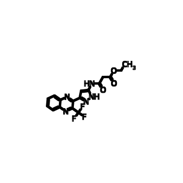 CCOC(=O)CC(=O)Nc1cc(-c2nc3ccccc3nc2C(F)(F)F)n[nH]1